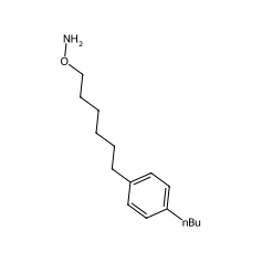 CCCCc1ccc(CCCCCCON)cc1